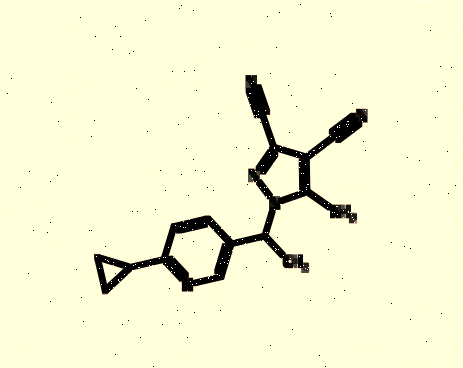 CC(c1ccc(C2CC2)nc1)n1nc(C#N)c(C#N)c1N